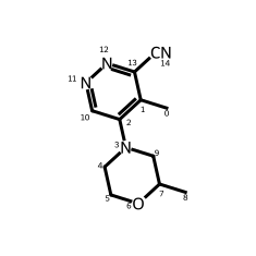 Cc1c(N2CCOC(C)C2)cnnc1C#N